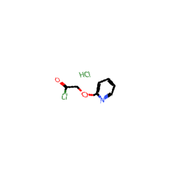 Cl.O=C(Cl)COc1ccccn1